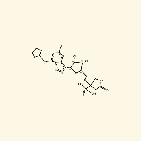 O=C1CC(OC[C@H]2O[C@@H](n3nnc4c(NC5CCCC5)cc(Cl)nc43)[C@H](O)[C@@H]2O)(P(=O)(O)O)CN1